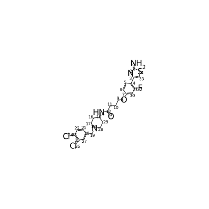 Nc1nc(-c2ccc(OCCCC(=O)NC3CCN(Cc4ccc(Cl)c(Cl)c4)CC3)cc2F)cs1